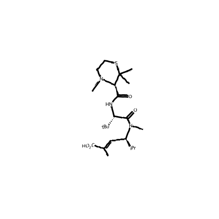 C/C(=C\[C@H](C(C)C)N(C)C(=O)[C@@H](NC(=O)[C@H]1N(C)CCSC1(C)C)C(C)(C)C)C(=O)O